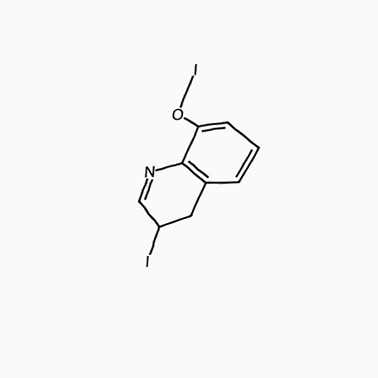 IOc1cccc2c1N=CC(I)C2